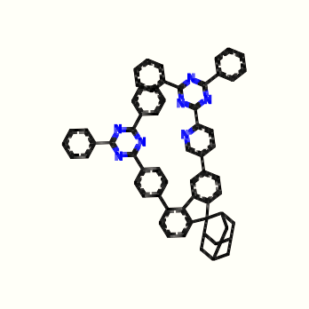 c1ccc(-c2nc(-c3ccccc3)nc(-c3ccc(-c4cccc5c4-c4cc(-c6ccc(-c7nc(-c8ccccc8)nc(-c8ccccc8)n7)nc6)ccc4C54C5CC6CC(C5)CC4C6)cc3)n2)cc1